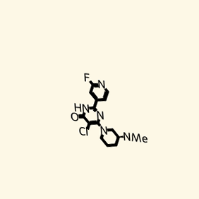 CN[C@H]1CCCN(c2nc(-c3ccnc(F)c3)[nH]c(=O)c2Cl)C1